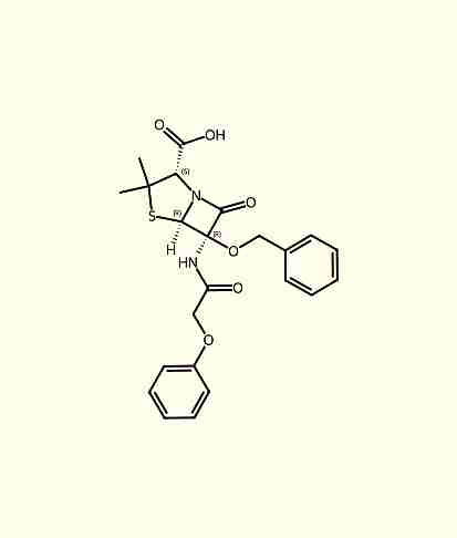 CC1(C)S[C@H]2N(C(=O)[C@@]2(NC(=O)COc2ccccc2)OCc2ccccc2)[C@H]1C(=O)O